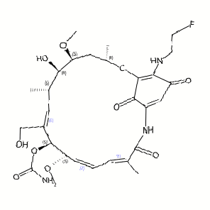 CO[C@H]1/C=C\C=C(/C)C(=O)NC2=CC(=O)C(NCCF)=C(C[C@@H](C)C[C@H](OC)[C@H](O)[C@@H](C)/C=C(\CO)[C@@H]1OC(N)=O)C2=O